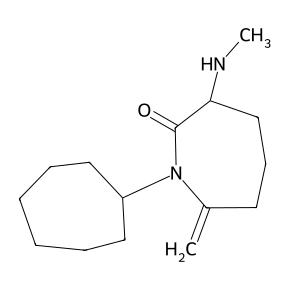 C=C1CCCC(NC)C(=O)N1C1CCCCCC1